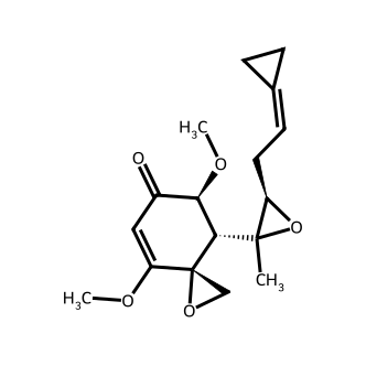 COC1=CC(=O)[C@@H](OC)[C@H](C2(C)O[C@@H]2CC=C2CC2)[C@@]12CO2